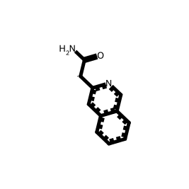 NC(=O)[CH]c1cc2ccccc2cn1